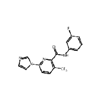 O=C(Nc1cccc(F)c1)c1nc(-n2ccnc2)ccc1C(F)(F)F